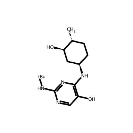 C[C@@H]1CC[C@@H](Nc2nc(NC(C)(C)C)ncc2O)C[C@H]1O